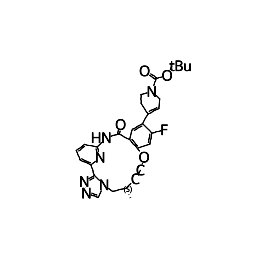 C[C@H]1CCOc2cc(F)c(C3=CCN(C(=O)OC(C)(C)C)CC3)cc2C(=O)Nc2cccc(n2)-c2nncn2C1